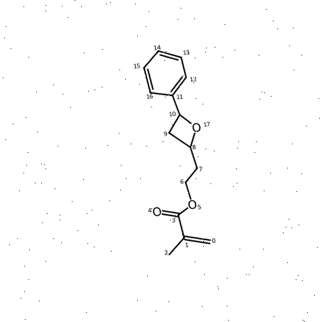 C=C(C)C(=O)OCCC1CC(c2ccccc2)O1